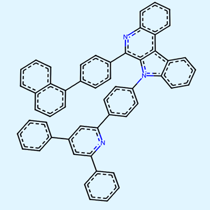 c1ccc(-c2cc(-c3ccccc3)nc(-c3ccc(-n4c5ccccc5c5c6ccccc6nc(-c6ccc(-c7cccc8ccccc78)cc6)c54)cc3)c2)cc1